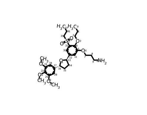 CCCOc1c(OCCCN)cc([C@H]2CC[C@H](c3cc(OC)c(OC)c(OC)c3)O2)cc1S(=O)(=O)CCC